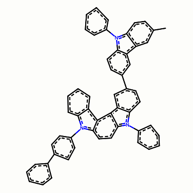 Cc1ccc2c(c1)c1cc(-c3ccc4c(c3)c3c5c6ccccc6n(-c6ccc(-c7ccccc7)cc6)c5ccc3n4-c3ccccc3)ccc1n2-c1ccccc1